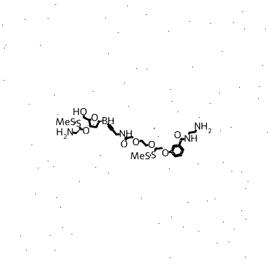 CSSC(COc1cccc(C(=O)NCCN)c1)OCCOCC(=O)NCC#CB[C@H]1C[C@@H](O[C@@H](CN)SSC)C(CO)O1